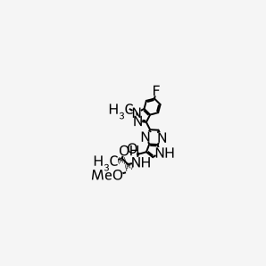 COC[C@@H](NC(=O)c1c[nH]c2ncc(-c3nn(C)c4cc(F)ccc34)nc12)[C@@H](C)O